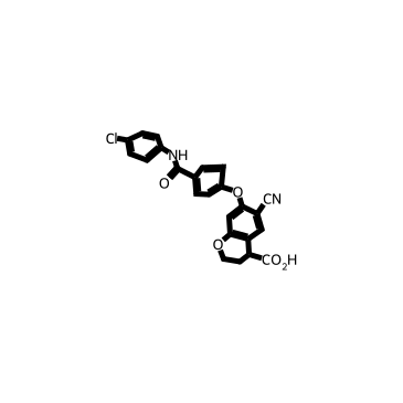 N#Cc1cc2c(cc1Oc1ccc(C(=O)Nc3ccc(Cl)cc3)cc1)OCCC2C(=O)O